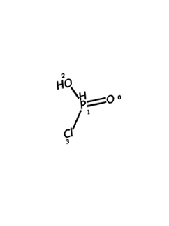 O=[PH](O)Cl